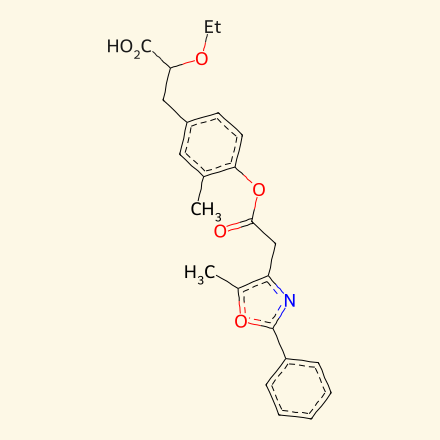 CCOC(Cc1ccc(OC(=O)Cc2nc(-c3ccccc3)oc2C)c(C)c1)C(=O)O